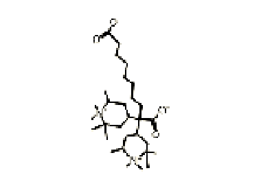 CC1CC(C(CCCCCCCC(=O)[O-])(C(=O)[O-])C2CC(C)[N+](C)(C)C(C)(C)C2)CC(C)(C)[N+]1(C)C